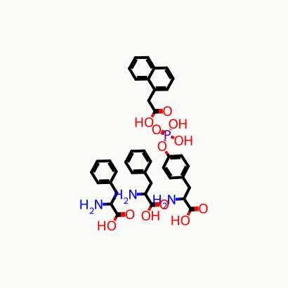 NC(Cc1ccc(OP(=O)(O)O)cc1)C(=O)O.NC(Cc1ccccc1)C(=O)O.NC(Cc1ccccc1)C(=O)O.O=C(O)Cc1cccc2ccccc12